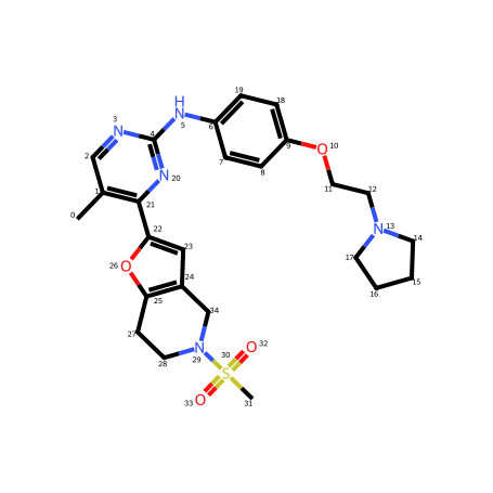 Cc1cnc(Nc2ccc(OCCN3CCCC3)cc2)nc1-c1cc2c(o1)CCN(S(C)(=O)=O)C2